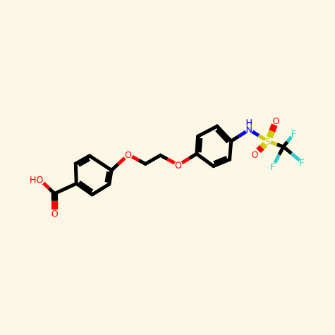 O=C(O)c1ccc(OCCOc2ccc(NS(=O)(=O)C(F)(F)F)cc2)cc1